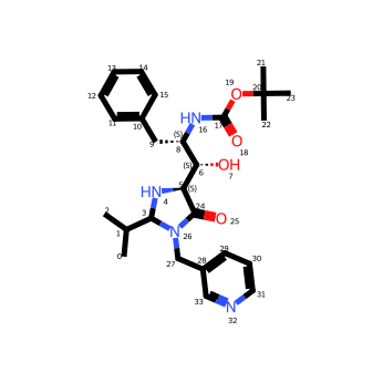 CC(C)C1N[C@@H]([C@@H](O)[C@H](Cc2ccccc2)NC(=O)OC(C)(C)C)C(=O)N1Cc1cccnc1